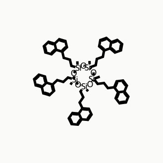 C[Si]1(CCCc2cccc3ccccc23)O[Si](C)(CCCc2cccc3ccccc23)O[Si](C)(CCCc2cccc3ccccc23)O[Si](C)(CCCc2cccc3ccccc23)O[Si](C)(CCCc2cccc3ccccc23)O1